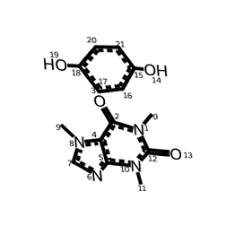 Cn1c(=O)c2c(ncn2C)n(C)c1=O.Oc1ccc(O)cc1